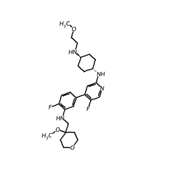 COCCN[C@H]1CC[C@H](Nc2cc(-c3ccc(F)c(NCC4(OC)CCOCC4)c3)c(F)cn2)CC1